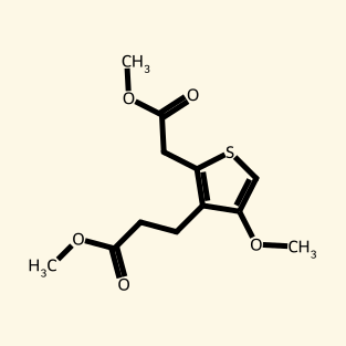 COC(=O)CCc1c(OC)csc1CC(=O)OC